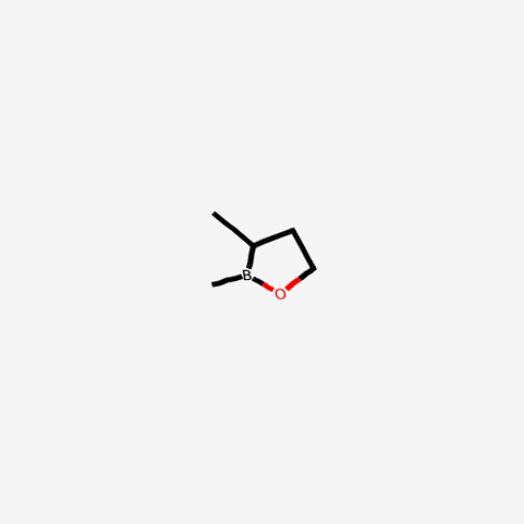 CB1OCCC1C